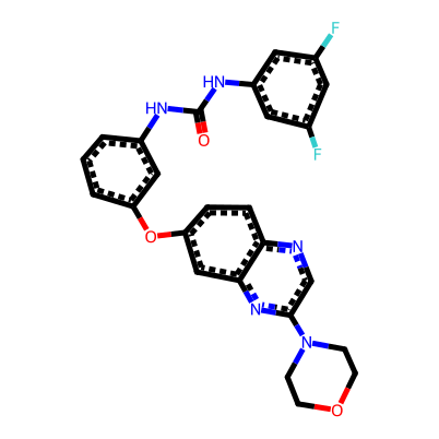 O=C(Nc1cc(F)cc(F)c1)Nc1cccc(Oc2ccc3ncc(N4CCOCC4)nc3c2)c1